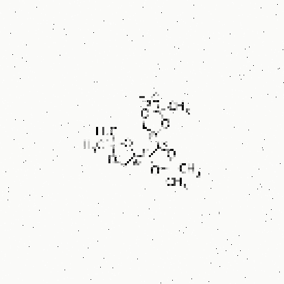 CC1(C)O[C@H]([C@H]2COC(C)(C)O2)[C@@H]([C@H]2COC(C)(C)O2)O1